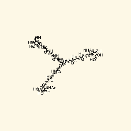 CC(=O)NC1C(O)[C@H](O)C(CO)O[C@H]1OCCCCC(=O)NCCCNC(=O)CCOCC(COCCC(=O)NCCCNC(=O)CCCCO[C@@H]1OC(CO)[C@@H](O)C(O)C1NC(C)=O)(COCCC(=O)NCCCNC(=O)CCCCO[C@@H]1OC(CO)[C@@H](O)C(O)C1NC(C)=O)NC(C)(C)C